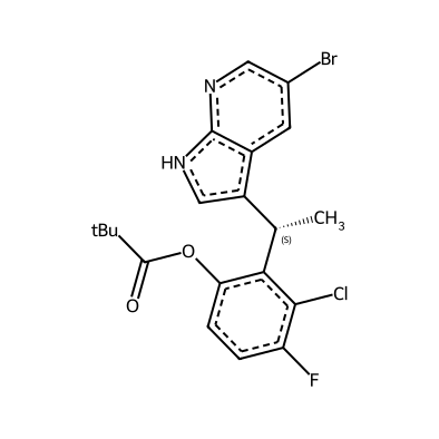 C[C@H](c1c(OC(=O)C(C)(C)C)ccc(F)c1Cl)c1c[nH]c2ncc(Br)cc12